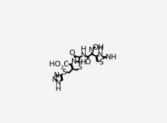 N=c1[nH]c(C(=NO)C(=O)NC2C(=O)N3C(C(=O)O)=C(CSc4c[nH]nn4)CS[C@@H]23)cs1